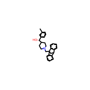 Cc1cccc([C@@H](O)C2CCN(CC34CC(c5ccccc53)c3ccccc34)CC2)c1